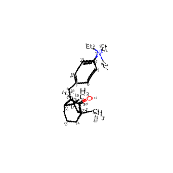 CC[N+](CC)(CC)c1ccc(CC2C(=O)C3(C)CCC2C3(C)C)cc1